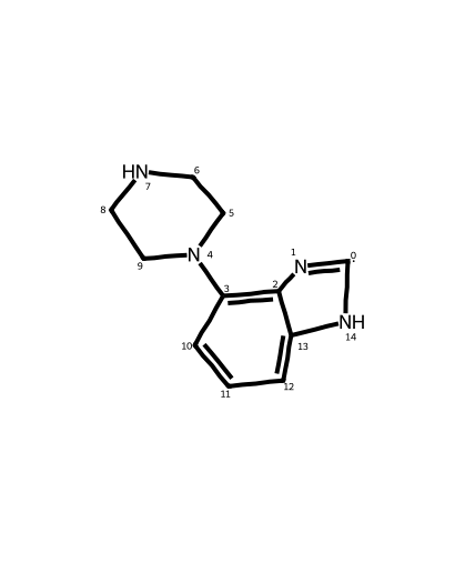 [c]1nc2c(N3CCNCC3)cccc2[nH]1